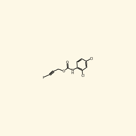 O=C(Nc1ccc(Cl)cc1Cl)OCC#CI